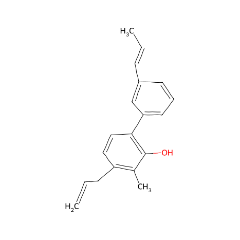 C=CCc1ccc(-c2cccc(/C=C/C)c2)c(O)c1C